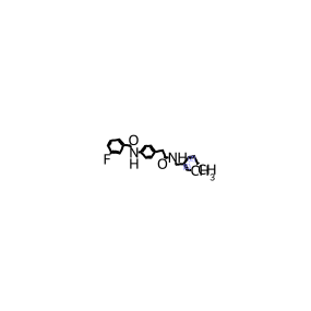 C#C/C=C\C(=C/C)CNC(=O)Cc1ccc(NC(=O)c2cccc(F)c2)cc1